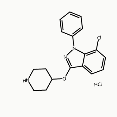 Cl.Clc1cccc2c(OC3CCNCC3)nn(-c3ccccc3)c12